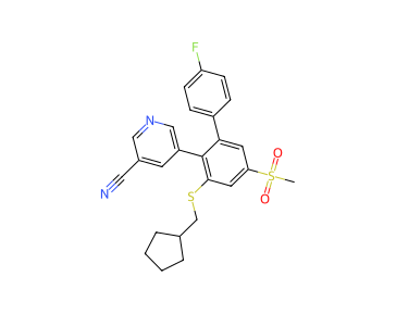 CS(=O)(=O)c1cc(SCC2CCCC2)c(-c2cncc(C#N)c2)c(-c2ccc(F)cc2)c1